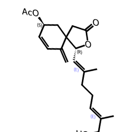 C=C1C=C[C@@H](OC(C)=O)CC12CC(=O)O[C@@H]2/C=C(\C)CC/C=C(\C)CO